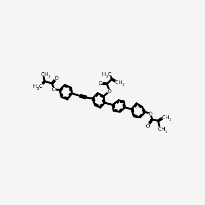 C=C(C)C(=O)Oc1ccc(C#Cc2ccc(-c3ccc(-c4ccc(OC(=O)C(=C)C)cc4)cc3)c(OC(=O)C(=C)C)c2)cc1